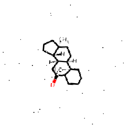 C[C@@]12CCC[C@H]1[C@@H]1CC(=O)C3CCCC[C@]3(C)[C@@H]1CC2